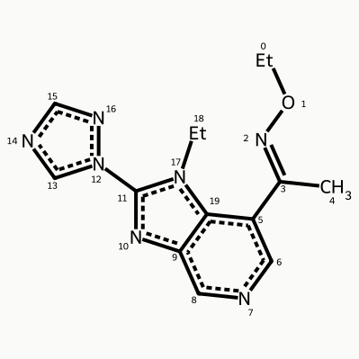 CCON=C(C)c1cncc2nc(-n3cncn3)n(CC)c12